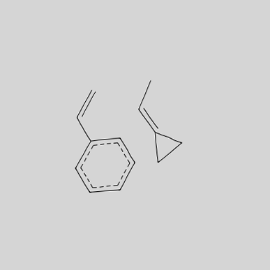 C=Cc1ccccc1.CC=C1CC1